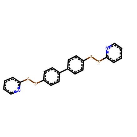 c1ccc(SSc2ccc(-c3ccc(SSc4ccccn4)cc3)cc2)nc1